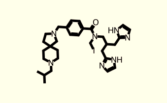 CC(C)CN1CCC2(CC1)CCN(Cc1ccc(C(=O)N(CI)CC(Cc3ncc[nH]3)Cc3ncc[nH]3)cc1)C2